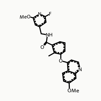 COc1ccc2c(Oc3cccc(C(=O)NCc4cc(F)nc(OC)c4)c3C)ccnc2c1